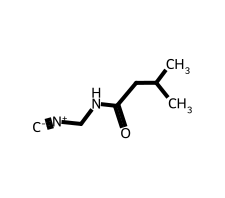 [C-]#[N+]CNC(=O)CC(C)C